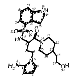 Nc1cccn1CCC(NS(=O)(=O)c1cccc2[nH]ccc12)C(=O)N1CCC(CCO)CC1